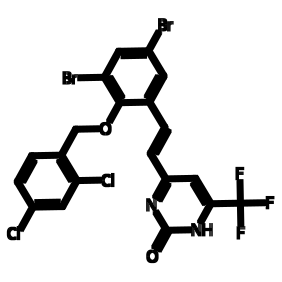 O=c1nc(C=Cc2cc(Br)cc(Br)c2OCc2ccc(Cl)cc2Cl)cc(C(F)(F)F)[nH]1